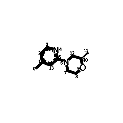 Cc1ccnc(N2CCO[C@H](C)C2)c1